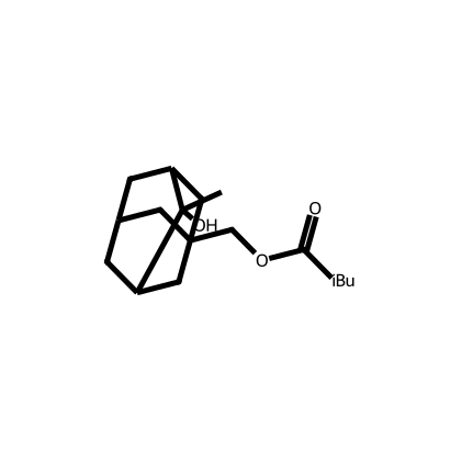 CCC(C)C(=O)OCC12CC3CC(C1)C(C)(O)C(C3)C2